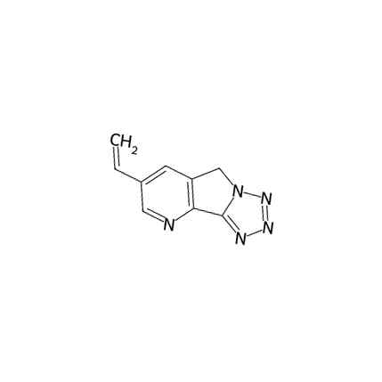 C=Cc1cnc2c(c1)Cn1nnnc1-2